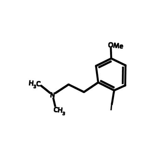 COc1ccc(I)c(CCN(C)C)c1